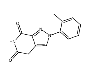 Cc1ccccc1-n1cc2c(n1)C(=O)NC(=O)C2